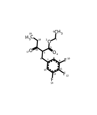 CCOC(=O)C(Cc1cc(F)c(F)c(F)c1)C(=O)CC